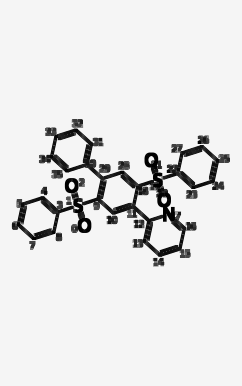 O=S(=O)(c1ccccc1)c1cc(-c2ccccn2)c(S(=O)(=O)c2ccccc2)cc1-c1ccccc1